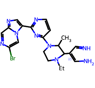 CCN1CCN(c2ccnc(-c3cnc4cnc(Br)cn34)n2)C(C)C1/C(C=N)=C/N